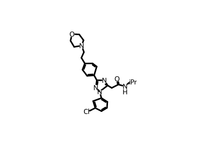 CC(C)NC(=O)Cc1nc(-c2ccc(CCN3CCOCC3)cc2)nn1-c1cccc(Cl)c1